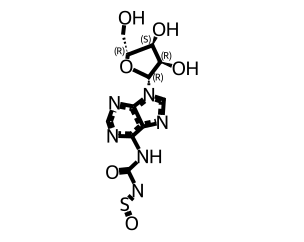 O=S=NC(=O)Nc1ncnc2c1ncn2[C@@H]1O[C@H](CO)[C@@H](O)[C@H]1O